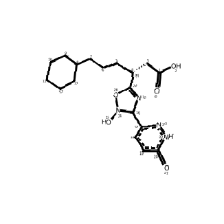 O=C(O)C[C@@H](CCCC1CCCCC1)C1=NC(c2ccc(=O)[nH]n2)N(O)O1